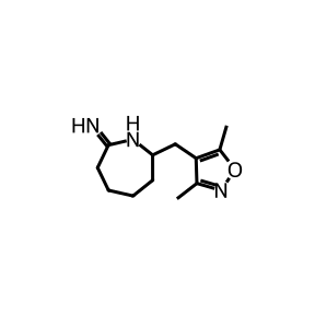 Cc1noc(C)c1CC1CCCCC(=N)N1